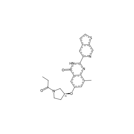 CCC(=O)N1CC[C@H](Oc2cc(C)c3nc(-c4cc5ccsc5cn4)[nH]c(=O)c3c2)C1